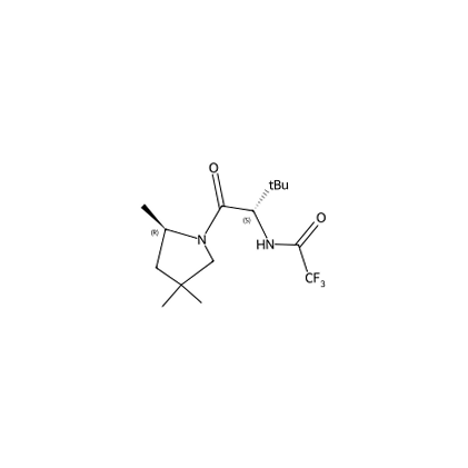 C[C@@H]1CC(C)(C)CN1C(=O)[C@@H](NC(=O)C(F)(F)F)C(C)(C)C